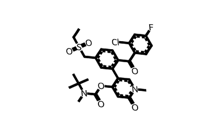 CCS(=O)(=O)Cc1ccc(C(=O)c2ccc(F)cc2Cl)c(-c2cn(C)c(=O)cc2OC(=O)N(C)C(C)(C)C)c1